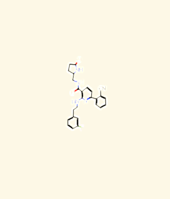 N#Cc1ccccc1-c1ccc(C(=O)NCC2CCC(=O)N2)c(NCCc2cccc(F)c2)n1